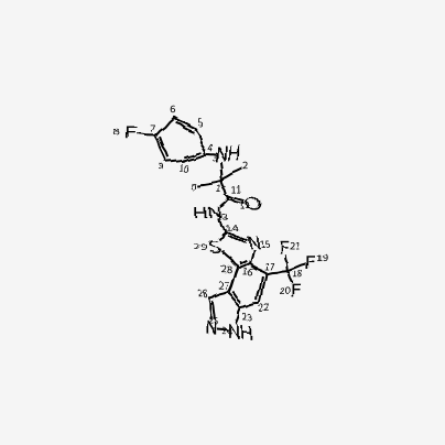 CC(C)(Nc1ccc(F)cc1)C(=O)Nc1nc2c(C(F)(F)F)cc3[nH]ncc3c2s1